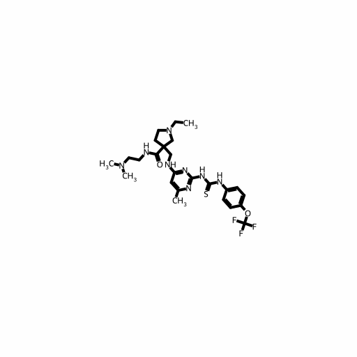 CCN1CCC(CNc2cc(C)nc(NC(=S)Nc3ccc(OC(F)(F)F)cc3)n2)(C(=O)NCCN(C)C)C1